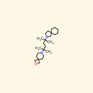 CC(C)(CCC(C)(C)N1CCC2(CCCCC2)C1)N1CCC2(CC1)COC2